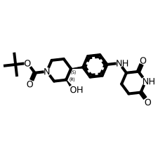 CC(C)(C)OC(=O)N1CC[C@@H](c2ccc(NC3CCC(=O)NC3=O)cc2)[C@@H](O)C1